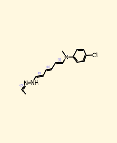 C/C=N\N/C=C/C=C/C=C/N(C)c1ccc(Cl)cc1